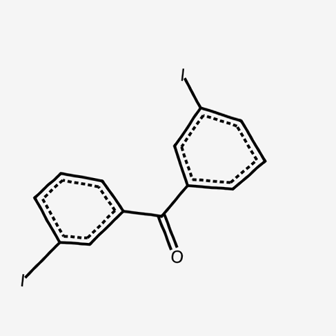 O=C(c1cccc(I)c1)c1cccc(I)c1